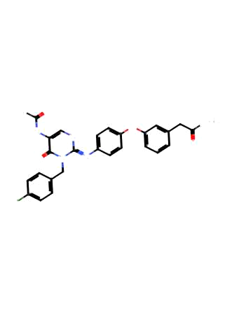 CCC(=O)Nc1c[nH]/c(=N\c2ccc(Oc3cccc(CC(=O)OC)c3)cc2)n(Cc2ccc(Cl)cc2)c1=O